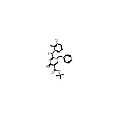 Cc1c(Cl)cccc1Nc1nc(=O)c(C(=O)OC(C)(C)C)cn1Cc1ccccc1